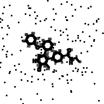 CCNC(=O)c1ccc(-c2c(-c3ccccc3Oc3ccccc3)n[nH]c(=O)c2C)cc1